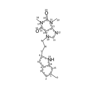 Cc1ccc2cc(CCCn3cnc4c3c(=O)n(C)c(=O)n4C)[nH]c2c1